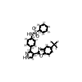 CC(C)(C)c1ccc2oc(-c3c[nH]nc3-c3ccc(NS(=O)(=O)c4ccccc4)cc3)nc2c1